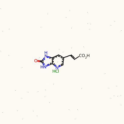 Cl.O=C(O)C=Cc1cnc2[nH]c(=O)[nH]c2c1